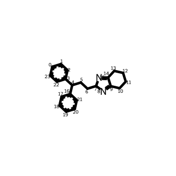 c1ccc(C(CCC2N=C3CCCCC3=N2)c2ccccc2)cc1